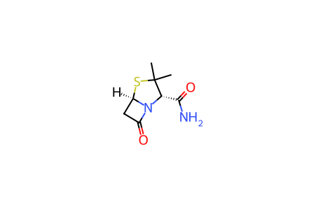 CC1(C)S[C@@H]2CC(=O)N2[C@H]1C(N)=O